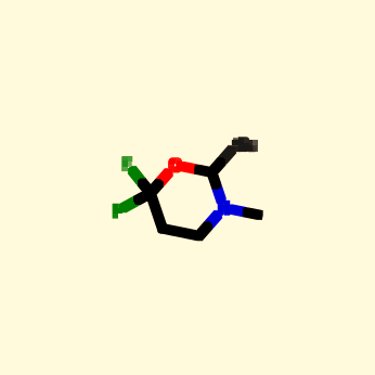 CN1CCC(F)(F)OC1C(C)(C)C